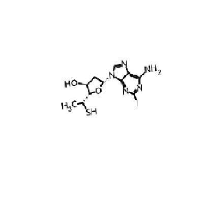 CC(S)[C@H]1O[C@@H](n2cnc3c(N)nc(I)nc32)C[C@@H]1O